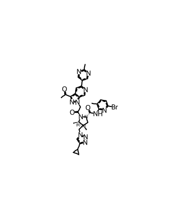 CC(=O)c1nn(CC(=O)N2[C@H](C(=O)Nc3nc(Br)ccc3C)C[C@](C)(Cn3cc(C4CC4)nn3)[C@H]2C)c2cnc(-c3cnc(C)nc3)cc12